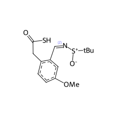 COc1ccc(CC(=O)S)c(/C=N\[S+]([O-])C(C)(C)C)c1